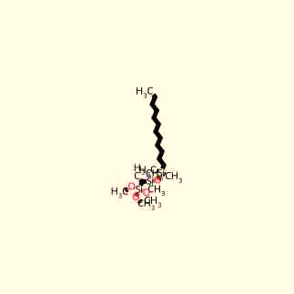 CCCCCCCCCCCC[Si](C)(C)O[Si](C)(C)C(C)[Si](OC)(OC)OC